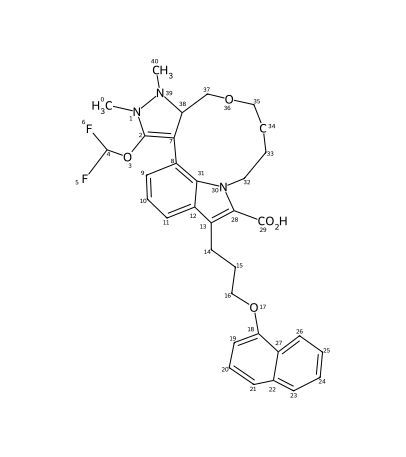 CN1C(OC(F)F)=C2c3cccc4c(CCCOc5cccc6ccccc56)c(C(=O)O)n(c34)CCCCOCC2N1C